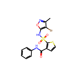 Cc1noc(NS(=O)(=O)c2sccc2C(=O)Nc2ccccc2)c1Br